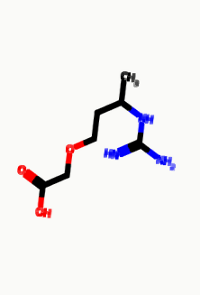 CC(CCOCC(=O)O)NC(=N)N